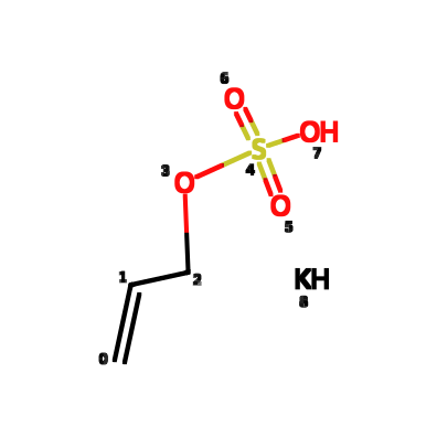 C=CCOS(=O)(=O)O.[KH]